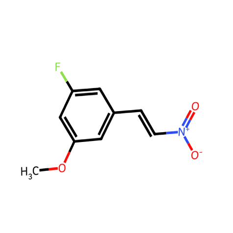 COc1cc(F)cc(/C=C/[N+](=O)[O-])c1